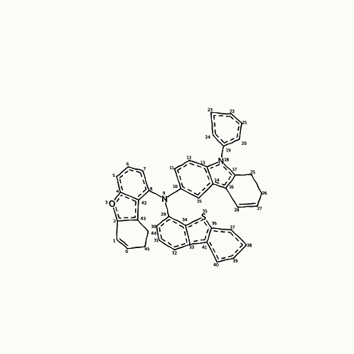 C1=Cc2oc3cccc(N(c4ccc5c(c4)c4c(n5-c5ccccc5)CCC=C4)c4cccc5c4sc4ccccc45)c3c2CC1